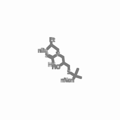 CCCCCCCCCC(C)(C)SCC(O)CN(CC(CC)CCCC)C(=S)S